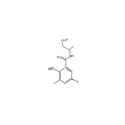 CC(CC(=O)O)NC(=O)c1cc(I)cc(I)c1O